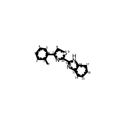 Cc1ccccc1-c1csc(-c2nc3ccccc3[nH]2)n1